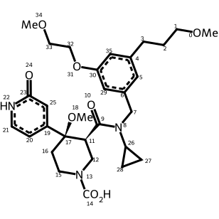 COCCCc1cc(CN(C(=O)[C@H]2CN(C(=O)O)CC[C@]2(OC)c2cc[nH]c(=O)c2)C2CC2)cc(OCCOC)c1